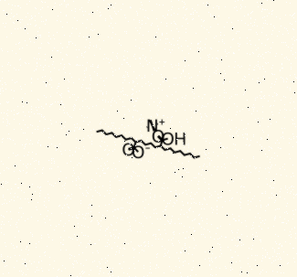 CCCCCCCCC(CCCCC(CCCCCCCC)C(=O)O)C(=O)[O-].C[N+](C)(C)C